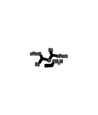 C=CC(=O)O.CCCCCC(CC)OC(CC)CCCCC